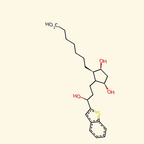 O=C(O)CCCCCC[C@@H]1C(CCC(O)c2cc3ccccc3s2)[C@H](O)C[C@@H]1O